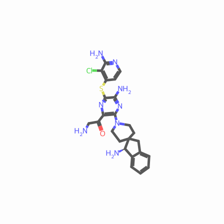 NCC(=O)c1nc(Sc2ccnc(N)c2Cl)c(N)nc1N1CCC2(CC1)Cc1ccccc1[C@H]2N